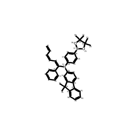 C=C/C=C\C=C(/c1ccccc1)N(c1ccc(B2OC(C)(C)C(C)(C)O2)cc1)c1ccc2c(c1)C(C)(C)c1ccccc1-2